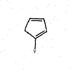 [Y][C]1=CC=CC1